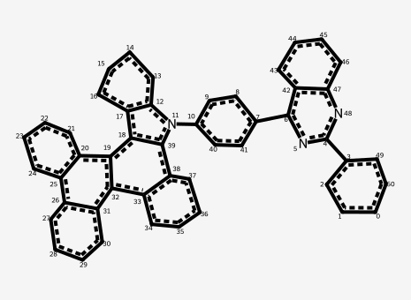 c1ccc(-c2nc(-c3ccc(-n4c5ccccc5c5c6c7ccccc7c7ccccc7c6c6ccccc6c54)cc3)c3ccccc3n2)cc1